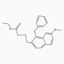 CCOC(=O)CCCc1ccc2ccc(OC)cc2c1Sc1ccccc1